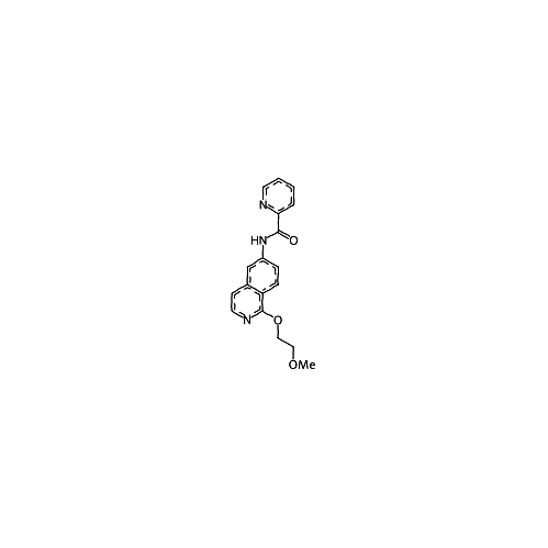 COCCOc1nccc2cc(NC(=O)c3ccccn3)ccc12